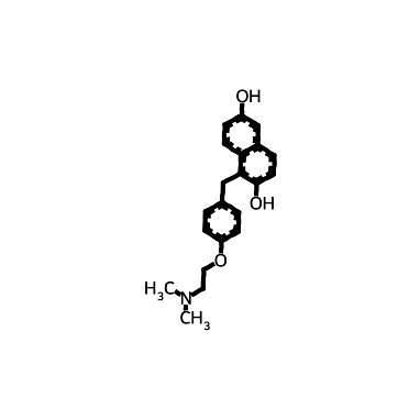 CN(C)CCOc1ccc(Cc2c(O)ccc3cc(O)ccc23)cc1